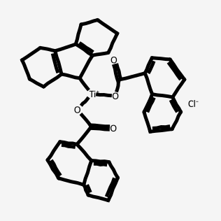 O=C([O][Ti+]([O]C(=O)c1cccc2ccccc12)[CH]1C2=C(CCCC2)C2=C1CCCC2)c1cccc2ccccc12.[Cl-]